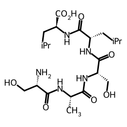 CC(C)C[C@H](NC(=O)[C@H](CC(C)C)NC(=O)[C@H](CO)NC(=O)[C@H](C)NC(=O)[C@@H](N)CO)C(=O)O